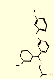 OC(CNC(c1cccc(Oc2cccc(OC(F)(F)F)c2)c1)C1CCCC(OC(F)(F)F)C1)C(F)(F)F